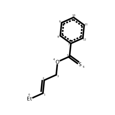 CCC=CCOC(=S)c1ccccc1